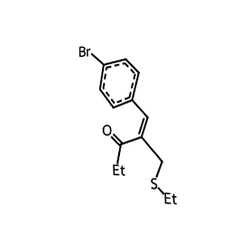 CCSC/C(=C/c1ccc(Br)cc1)C(=O)CC